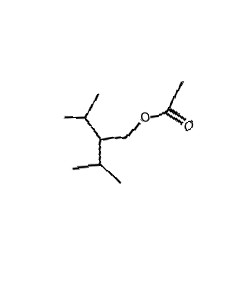 CC(=O)OCC(C(C)C)C(C)C